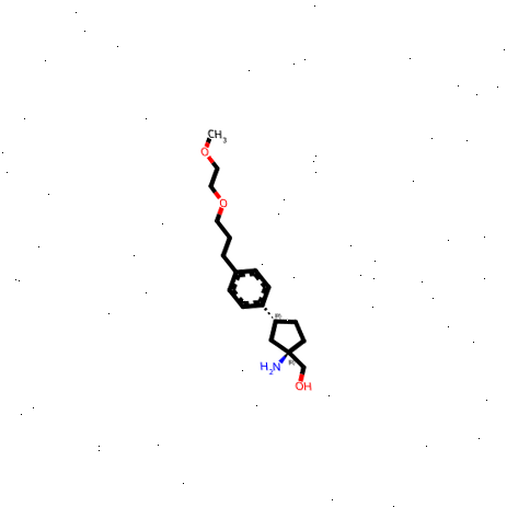 COCCOCCCc1ccc([C@@H]2CC[C@](N)(CO)C2)cc1